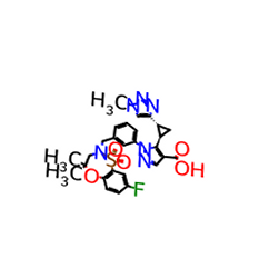 Cn1cc([C@@H]2C[C@H]2c2c(C(=O)O)cnn2-c2cccc(CN3CC(C)(C)Oc4ccc(F)cc4S3(=O)=O)c2)nn1